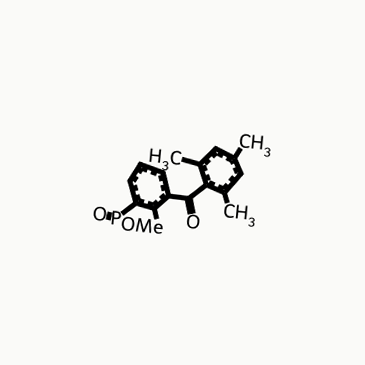 COc1c(P=O)cccc1C(=O)c1c(C)cc(C)cc1C